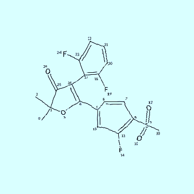 CC1(C)OC(c2ccc(S(C)(=O)=O)c(F)c2)=C(c2c(F)cccc2F)C1=O